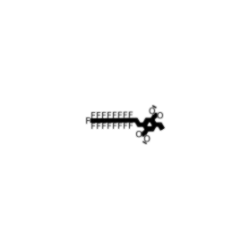 C=Cc1cc(C(=O)OC)c(CCC(F)(F)C(F)(F)C(F)(F)C(F)(F)C(F)(F)C(F)(F)C(F)(F)C(F)(F)F)cc1C(=O)OC